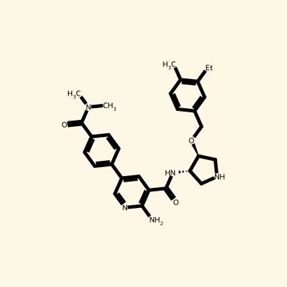 CCc1cc(CO[C@H]2CNC[C@@H]2NC(=O)c2cc(-c3ccc(C(=O)N(C)C)cc3)cnc2N)ccc1C